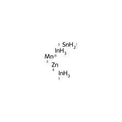 [InH3].[InH3].[Mn].[SnH2].[Zn]